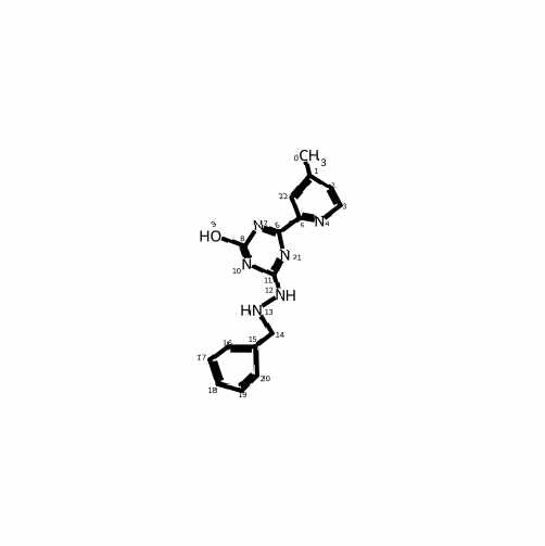 Cc1ccnc(-c2nc(O)nc(NNCc3ccccc3)n2)c1